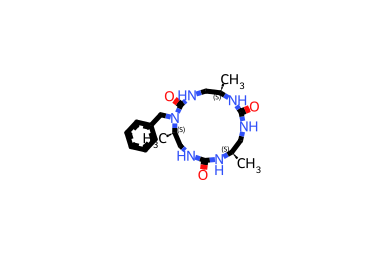 C[C@H]1CNC(=O)N[C@@H](C)CNC(=O)N(Cc2ccccc2)[C@@H](C)CNC(=O)N1